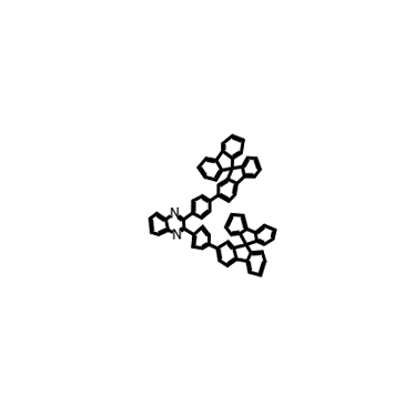 c1ccc2c(c1)-c1ccccc1C21c2ccccc2-c2ccc(-c3ccc(-c4nc5ccccc5nc4-c4ccc(-c5ccc6c(c5)C5(c7ccccc7-c7ccccc75)c5ccccc5-6)cc4)cc3)cc21